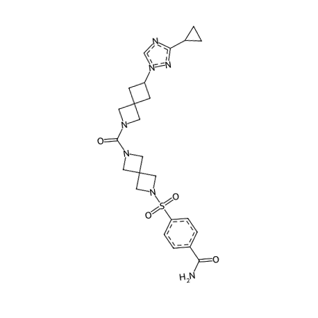 NC(=O)c1ccc(S(=O)(=O)N2CC3(CN(C(=O)N4CC5(CC(n6cnc(C7CC7)n6)C5)C4)C3)C2)cc1